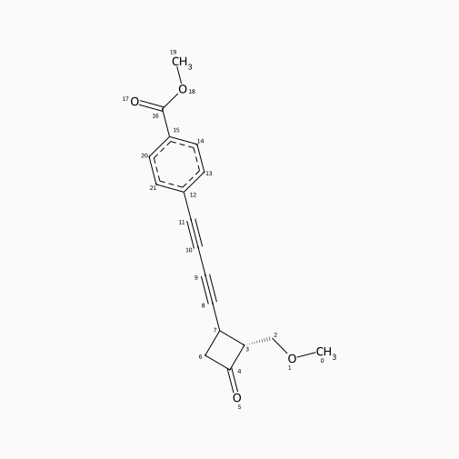 COC[C@@H]1C(=O)CC1C#CC#Cc1ccc(C(=O)OC)cc1